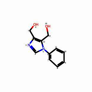 OCc1ncn(-c2ccccc2)c1CO